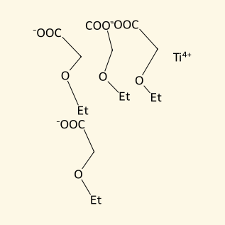 CCOCC(=O)[O-].CCOCC(=O)[O-].CCOCC(=O)[O-].CCOCC(=O)[O-].[Ti+4]